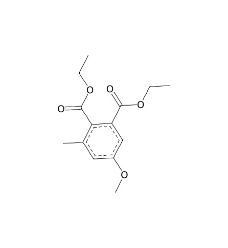 CCOC(=O)c1cc(OC)cc(C)c1C(=O)OCC